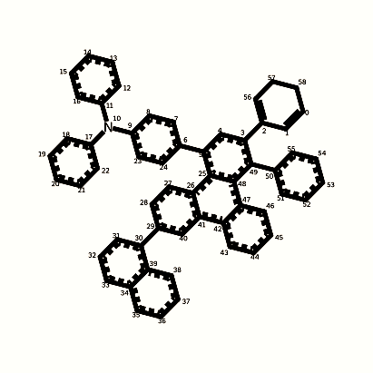 C1=CC(c2cc(-c3ccc(N(c4ccccc4)c4ccccc4)cc3)c3c4ccc(-c5cccc6ccccc56)cc4c4ccccc4c3c2-c2ccccc2)=CCC1